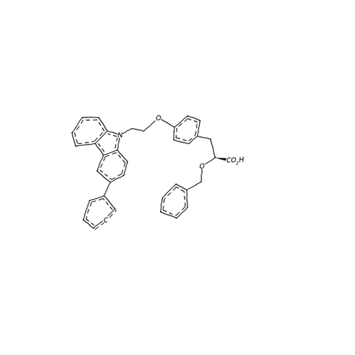 O=C(O)[C@H](Cc1ccc(OCCn2c3ccccc3c3cc(-c4ccccc4)ccc32)cc1)OCc1ccccc1